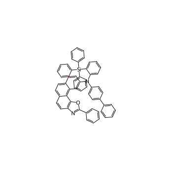 c1ccc(-c2ccc(N(c3ccc4ccc5ccc6nc(-c7ccccc7)oc6c5c4c3)c3ccccc3[Si](c3ccccc3)(c3ccccc3)c3ccccc3)cc2)cc1